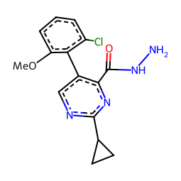 COc1cccc(Cl)c1-c1cnc(C2CC2)nc1C(=O)NN